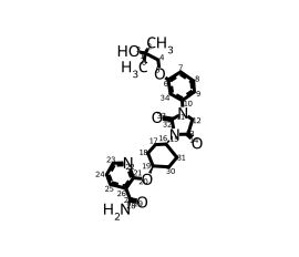 CC(C)(O)COc1cccc(N2CC(=O)N([C@H]3CC[C@H](Oc4ncccc4C(N)=O)CC3)C2=O)c1